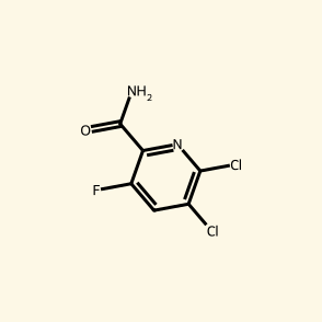 NC(=O)c1nc(Cl)c(Cl)cc1F